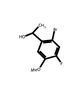 COc1cc(C(C)O)c(Br)cc1F